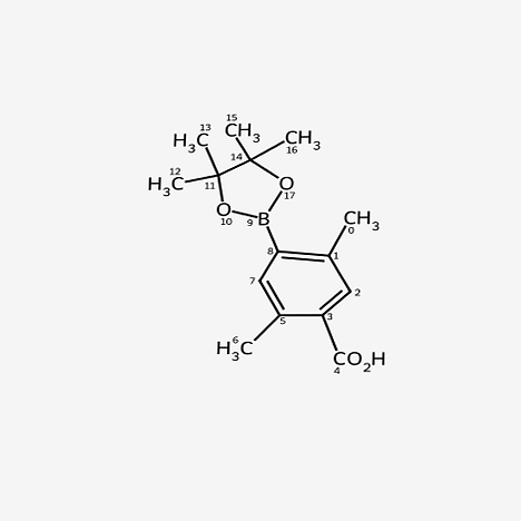 Cc1cc(C(=O)O)c(C)cc1B1OC(C)(C)C(C)(C)O1